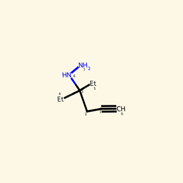 C#CCC(CC)(CC)NN